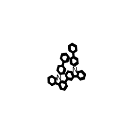 C1=CCC(c2ccc(N3C4=C(C=C(c5cccc6c5N(C5C=CC(C7C=CC=CC7)CC5)C5CCCCC65)CC4)C4C=CC=CC43)cc2)C=C1